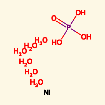 O.O.O.O.O.O.O=P(O)(O)O.[Ni]